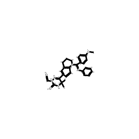 COc1ccc(C(=Nc2ccccc2)N2CCCc3cc(C4=NN(C=O)C(=O)SC4(C)C)ccc32)cc1